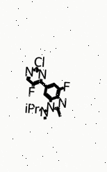 Cc1nc2c(F)cc(-c3nc(Cl)ncc3F)cc2n1N(C)C(C)C